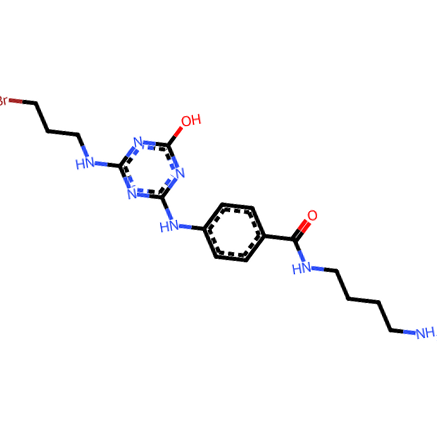 NCCCCNC(=O)c1ccc(Nc2nc(O)nc(NCCCBr)n2)cc1